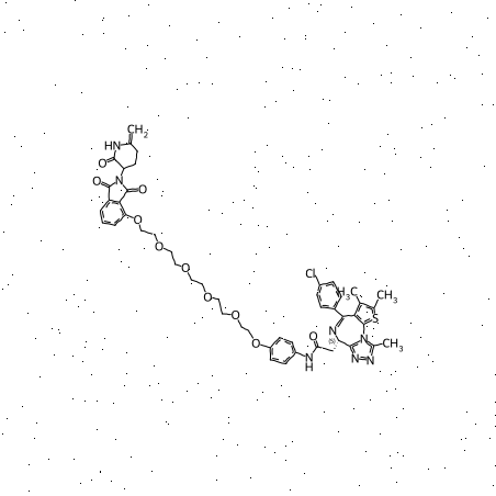 C=C1CCC(N2C(=O)c3cccc(OCCOCCOCCOCCOCCOc4ccc(NC(=O)C[C@@H]5N=C(c6ccc(Cl)cc6)c6c(sc(C)c6C)-n6c(C)nnc65)cc4)c3C2=O)C(=O)N1